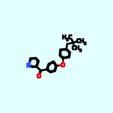 CC(C)(C)Cc1ccc(Oc2ccc(C(=O)c3cccnc3)cc2)cc1